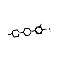 CN1CCN(C2CCN(c3ccc(N)c(F)c3)CC2)CC1